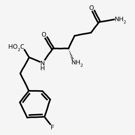 NC(=O)CC[C@H](N)C(=O)NC(Cc1ccc(F)cc1)C(=O)O